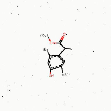 CCCCCCCCOC(=O)C(C)c1cc(C(C)(C)C)c(O)cc1C(C)(C)C